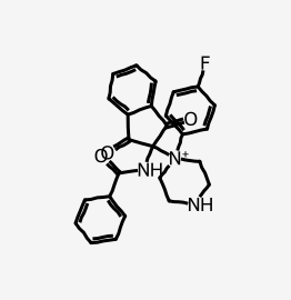 O=C(NC1([N+]2(c3ccc(F)cc3)CCNCC2)C(=O)c2ccccc2C1=O)c1ccccc1